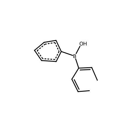 C/C=C\C(=C/C)B(O)c1ccccc1